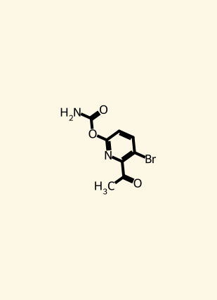 CC(=O)c1nc(OC(N)=O)ccc1Br